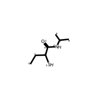 CCC(S)C(=O)NC(C)C